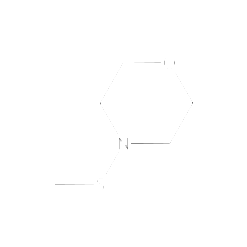 CSN1CCOCC1